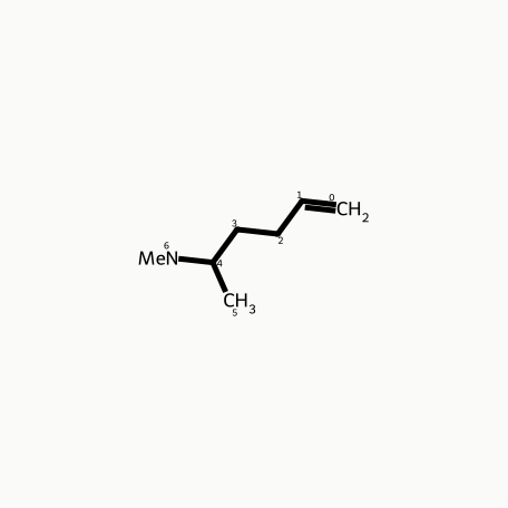 C=CCCC(C)NC